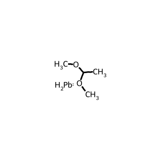 COC(C)OC.[PbH2]